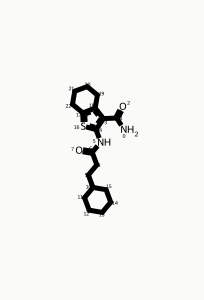 NC(=O)c1c(NC(=O)CCC2CCCCC2)sc2c1CCCC2